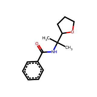 CC(C)(NC(=O)c1ccccc1)C1CCCO1